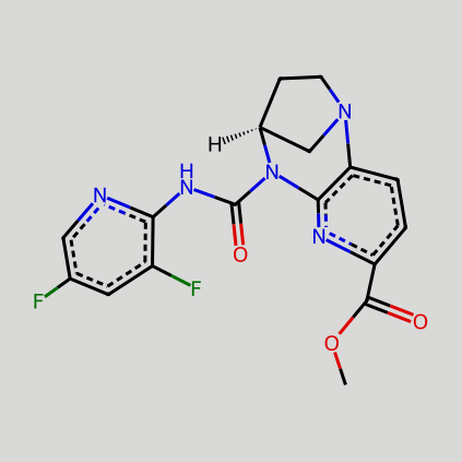 COC(=O)c1ccc2c(n1)N(C(=O)Nc1ncc(F)cc1F)[C@H]1CCN2C1